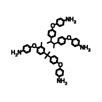 CC(c1ccc(Oc2ccc(N)cc2)cc1)C(C)c1ccc(Oc2ccc(N)cc2)cc1.Cc1cc(C(C)(C)c2ccc(Oc3ccc(N)cc3)cc2)ccc1Oc1ccc(N)cc1